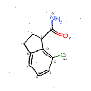 NC(=O)C1CCc2cccc(Cl)c21